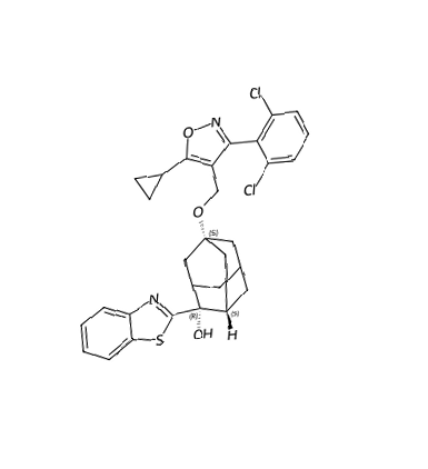 O[C@]1(c2nc3ccccc3s2)C2CC3C[C@H]1C[C@](OCc1c(-c4c(Cl)cccc4Cl)noc1C1CC1)(C3)C2